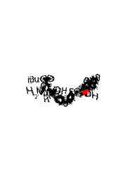 CC(C)COC(=O)CC[C@H](NC(=O)CN)C(O)NC1CCC(Oc2ccc([C@@H]3O[C@@H]4C[C@H]5[C@@H]6CCC7=CC(=O)C=C[C@]7(C)[C@H]6[C@@H](O)C[C@]5(C)[C@]4(C(=O)CO)O3)c(F)c2)CC1